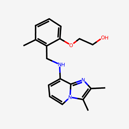 Cc1cccc(OCCO)c1CNc1cccn2c(C)c(C)nc12